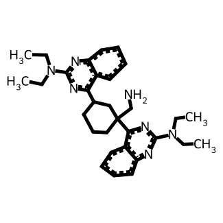 CCN(CC)c1nc(C2CCCC(CN)(c3nc(N(CC)CC)nc4ccccc34)C2)c2ccccc2n1